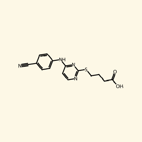 N#Cc1ccc(Nc2ccnc(SCCCC(=O)O)n2)cc1